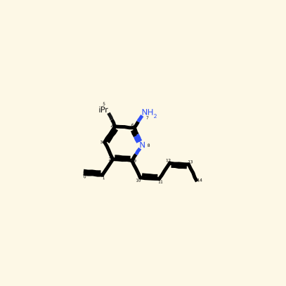 C=Cc1cc(C(C)C)c(N)nc1/C=C\C=C/C